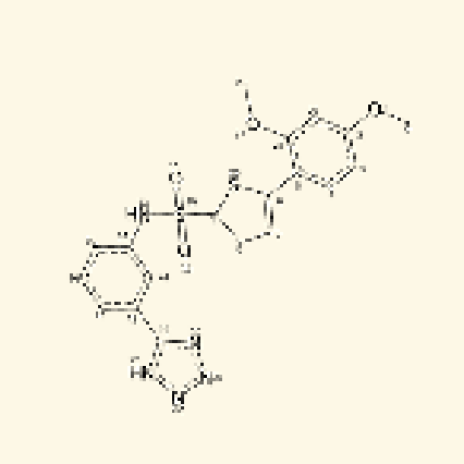 COc1ccc(C2=CCC(S(=O)(=O)Nc3cccc(-c4nnn[nH]4)c3)S2)c(OC)c1